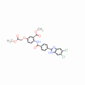 COC(=O)COc1ccc(NC(=O)c2ccc(-c3nc4cc(Cl)c(Cl)cc4[nH]3)cc2)c(C(=O)OC)c1